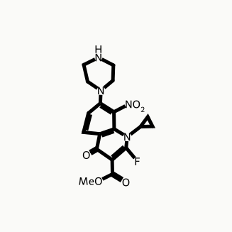 COC(=O)c1c(F)n(C2CC2)c2c([N+](=O)[O-])c(N3CCNCC3)ccc2c1=O